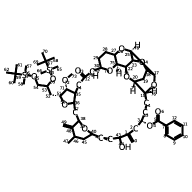 C=C1C[C@@H](OC(=O)c2ccccc2)CC[C@H]2OC3C4C[C@H]2OC2C(O4)[C@H]3OC3CC[C@H](CC(=O)CC4C(CC5OC(CCC1O)CC(C)C5=C)O[C@H](CC(CO[Si](C)(C)C(C)(C)C)O[Si](C)(C)C(C)(C)C)[C@@H]4OC)O[C@@H]32